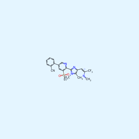 C=N/C(=C\c1nc(-c2ncc(-c3ccccc3C#N)cc2S(=O)(=O)CC)n(C)c1C)C(F)(F)F